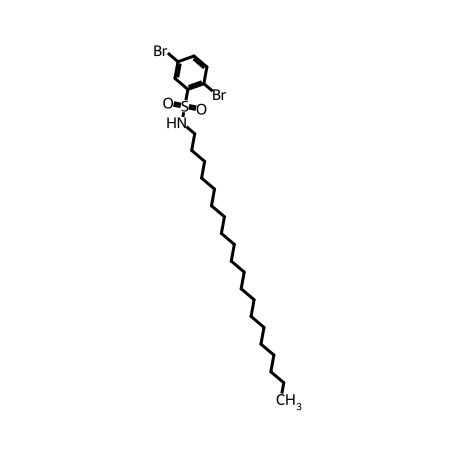 CCCCCCCCCCCCCCCCCCCCNS(=O)(=O)c1cc(Br)ccc1Br